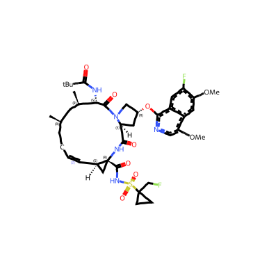 COc1cc2c(OC)cnc(O[C@@H]3C[C@H]4C(=O)N[C@]5(C(=O)NS(=O)(=O)C6(CF)CC6)C[C@H]5/C=C\CC[C@@H](C)C[C@@H](C)[C@H](NC(=O)C(C)(C)C)C(=O)N4C3)c2cc1F